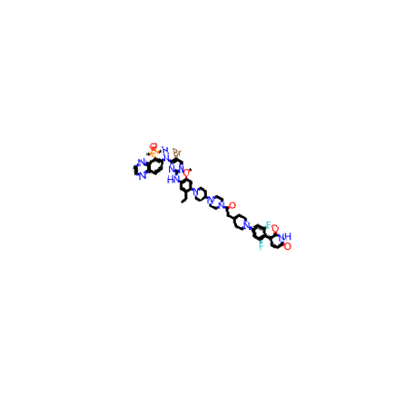 CCc1cc(Nc2ncc(Br)c(Nc3ccc4nccnc4c3P(C)(C)=O)n2)c(OC)cc1N1CCC(N2CCN(C(=O)CC3CCN(c4cc(F)c(C5CCC(=O)NC5=O)c(F)c4)CC3)CC2)CC1